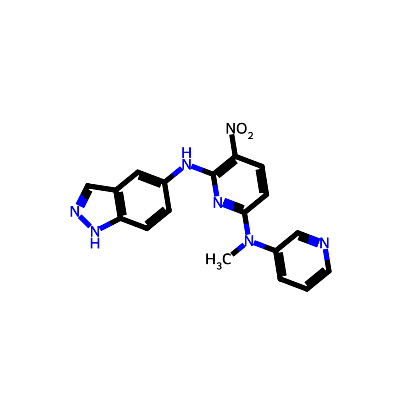 CN(c1cccnc1)c1ccc([N+](=O)[O-])c(Nc2ccc3[nH]ncc3c2)n1